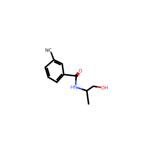 CC(CO)NC(=O)c1cccc(C#N)c1